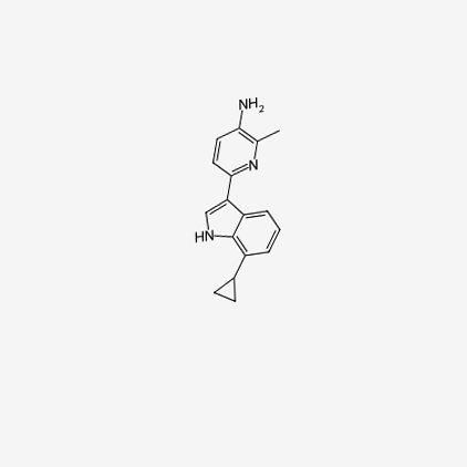 Cc1nc(-c2c[nH]c3c(C4CC4)cccc23)ccc1N